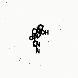 N#Cc1ccc(C(=O)N2CC[C@](O)(c3ccccc3)[C@H]3CCCC[C@H]32)cn1